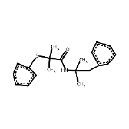 CC(C)(Cc1ccccc1)NC(=O)C(C)(C)Sc1ccccc1